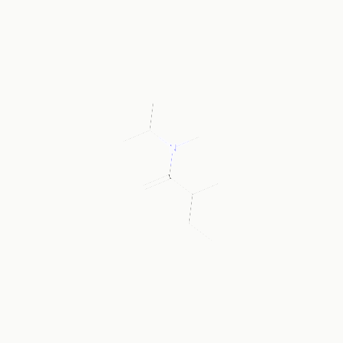 C=C(C(C)CC)N(C)C(C)C